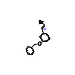 Br/C=C/c1cccc(OCc2ccccc2)c1